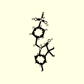 Cc1ccc2c(c1)C(C)(C)C(=O)N2Cc1ccc(S(C)(=O)=O)cc1